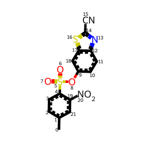 Cc1ccc(S(=O)(=O)Oc2ccc3nc(C#N)sc3c2)c([N+](=O)[O-])c1